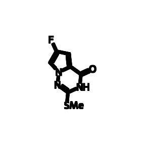 CSc1nn2cc(F)cc2c(=O)[nH]1